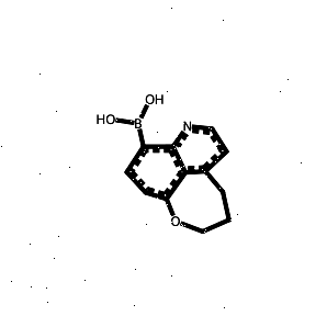 OB(O)c1ccc2c3c(ccnc13)CCCO2